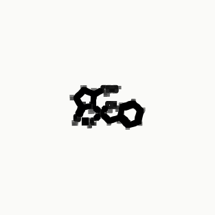 C[N+](C)(Cc1ccccc1)N1C(=O)CCC1C(=O)[O-]